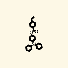 C=Cc1ccc(C(=O)Oc2ccc([S+](c3ccccc3)c3ccccc3)cc2)cc1